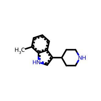 Cc1cccc2c(C3CCNCC3)c[nH]c12